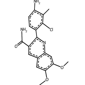 COc1cc2cc(C(N)=O)c(-c3ccc(N)c(C)c3Cl)nc2cc1OC